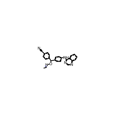 C/C=N/OC(c1ccc(C#N)cc1)c1ccc(Nc2ncnc3ccccc23)cc1